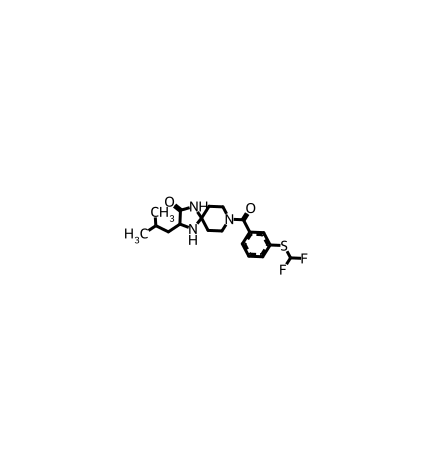 CC(C)CC1NC2(CCN(C(=O)c3cccc(SC(F)F)c3)CC2)NC1=O